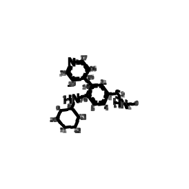 CNSc1ccc(NC2CCCCC2)c(-c2ccncc2)c1